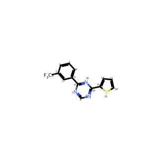 FC(F)(F)c1cccc(-c2ncnc(-c3cccs3)n2)c1